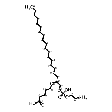 CCCCCCCCCCCCCCCCSC[C@@H](COP(=O)(O)OCCN)OCCCCC(=O)O